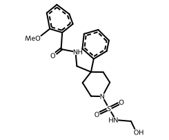 COc1ccccc1C(=O)NCC1(c2ccccc2)CCN(S(=O)(=O)NCO)CC1